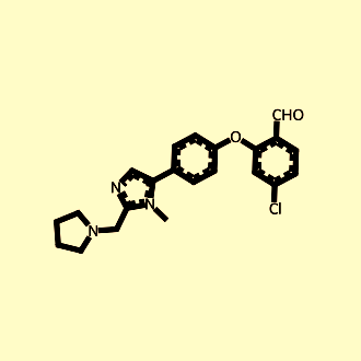 Cn1c(-c2ccc(Oc3cc(Cl)ccc3C=O)cc2)cnc1CN1CCCC1